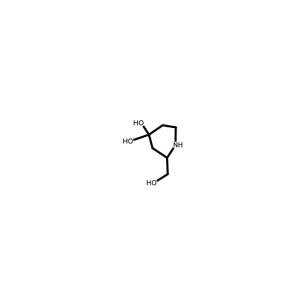 OCC1CC(O)(O)CCN1